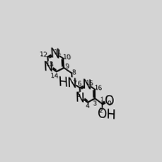 O=C(O)c1cnc(NCc2cncnc2)nc1